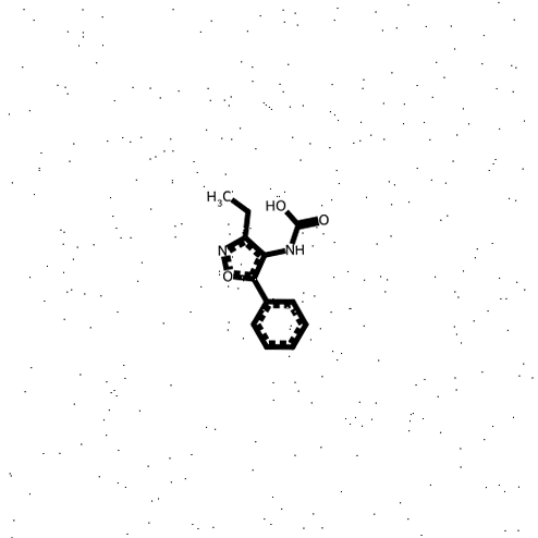 CCc1noc(-c2ccccc2)c1NC(=O)O